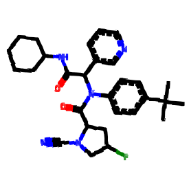 CC(C)(C)c1ccc(N(C(=O)C2CC(F)CN2C#N)C(C(=O)NC2CCCCC2)c2cccnc2)cc1